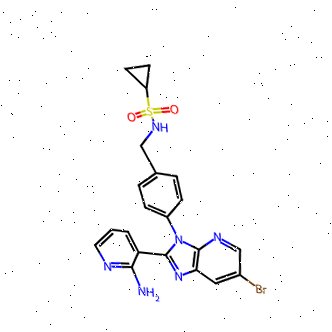 Nc1ncccc1-c1nc2cc(Br)cnc2n1-c1ccc(CNS(=O)(=O)C2CC2)cc1